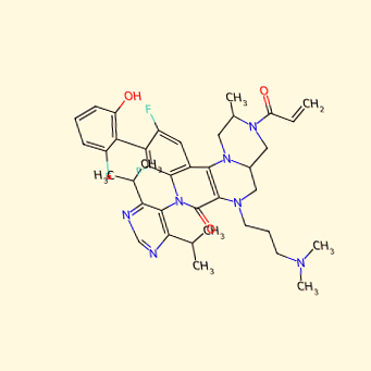 C=CC(=O)N1CC2CN(CCCN(C)C)c3c(c4cc(F)c(-c5c(O)cccc5F)c(F)c4n(-c4c(C(C)C)ncnc4C(C)C)c3=O)N2CC1C